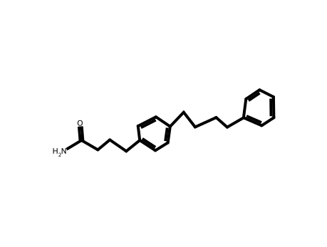 NC(=O)CCCc1ccc(CCCCc2ccccc2)cc1